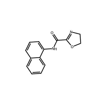 O=C(Nc1cccc2ccccc12)C1=NCCO1